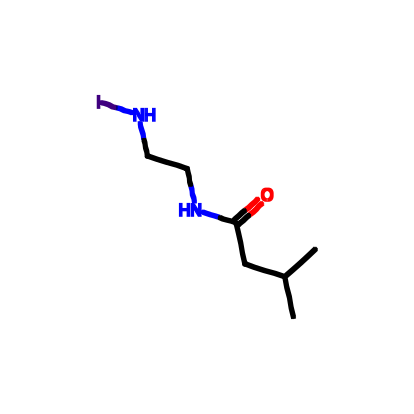 CC(C)CC(=O)NCCNI